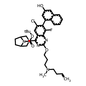 C=CCCN(C)CCCOc1nc(N2CC3CCC(C2)N3C(=O)OC(C)(C)C)c2cc(Cl)c(-c3cc(O)cc4ccccc34)c(F)c2n1